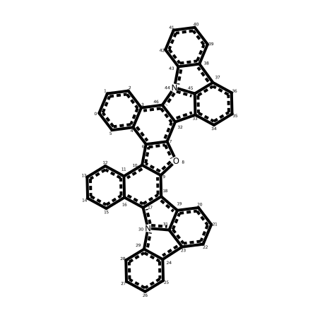 c1ccc2c(c1)c1c(oc3c1c1ccccc1c1c3c3cccc4c5ccccc5n1c43)c1c3cccc4c5ccccc5n(c43)c21